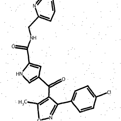 Cc1onc(-c2ccc(Cl)cc2)c1C(=O)c1c[nH]c(C(=O)NCc2ccccn2)c1